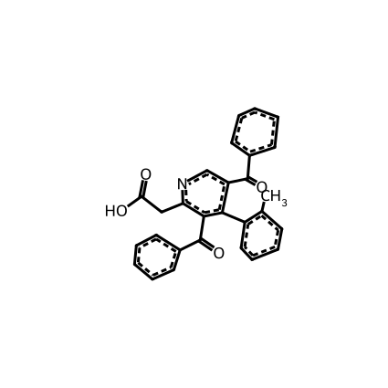 Cc1ccccc1-c1c(C(=O)c2ccccc2)cnc(CC(=O)O)c1C(=O)c1ccccc1